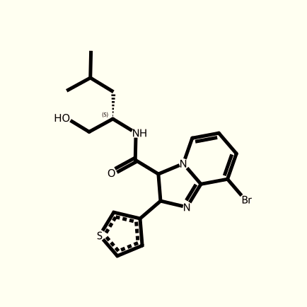 CC(C)C[C@@H](CO)NC(=O)C1C(c2ccsc2)N=C2C(Br)=CC=CN21